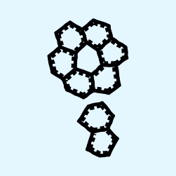 c1cc2ccc3ccc4ccc5ccc6ccc1c1c2c3c4c5c61.c1ccc2ccccc2c1